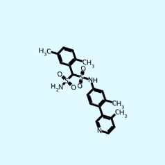 Cc1ccc(C)c(C(S(N)(=O)=O)S(=O)(=O)Nc2ccc(-c3cnccc3C)c(C)c2)c1